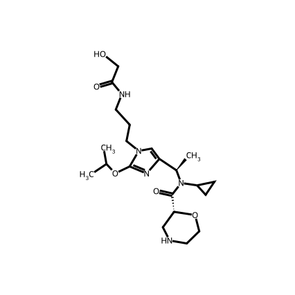 CC(C)Oc1nc([C@@H](C)N(C(=O)[C@H]2CNCCO2)C2CC2)cn1CCCNC(=O)CO